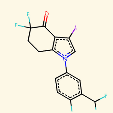 O=C1c2c(I)cn(-c3ccc(F)c(C(F)F)c3)c2CCC1(F)F